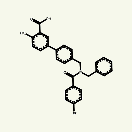 O=C(O)c1cc(-c2ccc(CN(Cc3ccccc3)C(=O)c3ccc(Br)cc3)cc2)ccc1O